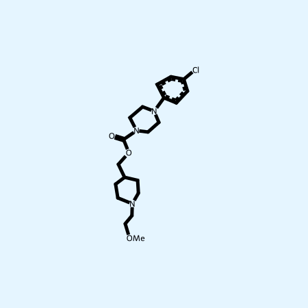 COCCN1CCC(COC(=O)N2CCN(c3ccc(Cl)cc3)CC2)CC1